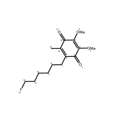 COC1=C(OC)C(=O)C(CCCCCCF)=C(C)C1=O